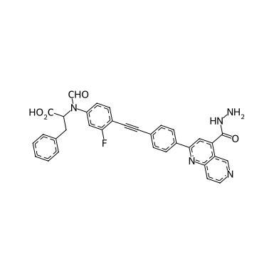 NNC(=O)c1cc(-c2ccc(C#Cc3ccc(N(C=O)C(Cc4ccccc4)C(=O)O)cc3F)cc2)nc2ccncc12